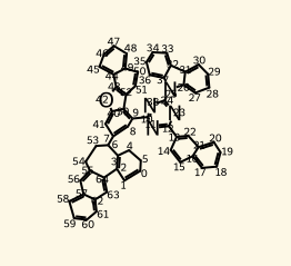 C1=CC2=C(CC1)C(c1cc(-c3nc(-c4ccc5ccccc5c4)nc(-n4c5ccccc5c5ccccc54)n3)c3c(c1)oc1c4ccccc4ccc13)CCc1cc3ccccc3cc12